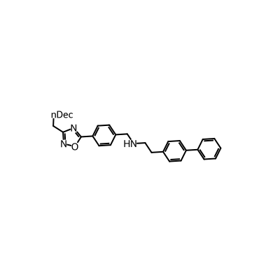 CCCCCCCCCCCc1noc(-c2ccc(CNCCc3ccc(-c4ccccc4)cc3)cc2)n1